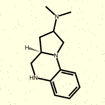 CN(C)C1C[C@@H]2CNc3ccccc3N2C1